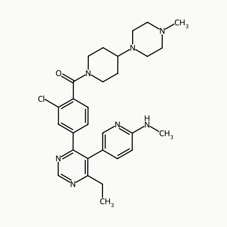 CCc1ncnc(-c2ccc(C(=O)N3CCC(N4CCN(C)CC4)CC3)c(Cl)c2)c1-c1ccc(NC)nc1